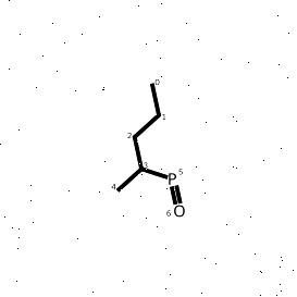 CCCC(C)P=O